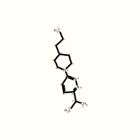 CCCC1CCN(c2ccc(C(C)C)nn2)CC1